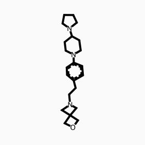 c1cc(N2CCC(N3CCCC3)CC2)ccc1CCN1CC2(COC2)C1